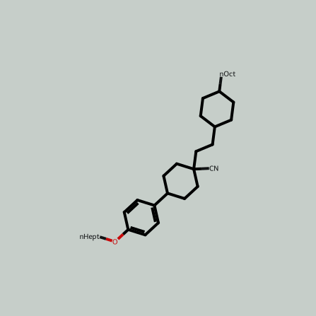 CCCCCCCCC1CCC(CCC2(C#N)CCC(c3ccc(OCCCCCCC)cc3)CC2)CC1